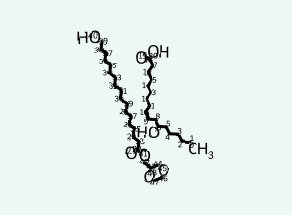 CCCCCC[C@@H](O)C/C=C\CCCCCCCC(=O)O.O=C(CCCCCCCCCCCCCCCCCO)OCC1COCCO1